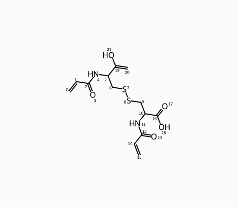 C=CC(=O)NC(CSSCC(NC(=O)C=C)C(=O)O)C(=C)O